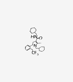 CC1=C(C(=O)NCC2CCCCC2)CC(c2ccccc2CC(F)(F)F)N1CC1CCCCC1